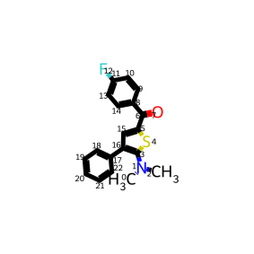 CN(C)c1sc(C(=O)c2ccc(F)cc2)cc1-c1ccccc1